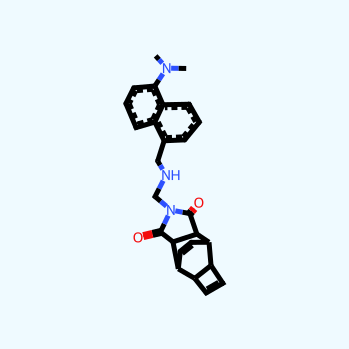 CN(C)c1cccc2c(CNCN3C(=O)C4C5C=CC(C6C=CC65)C4C3=O)cccc12